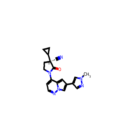 Cn1cc(-c2cc3c(N4CC[C@@](C#N)(C5CC5)C4=O)ccnn3c2)cn1